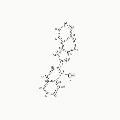 Oc1c(-c2nc3ccc4ncccc4c3[nH]2)cnc2ccccc12